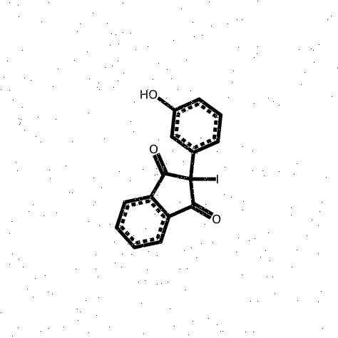 O=C1c2ccccc2C(=O)C1(I)c1cccc(O)c1